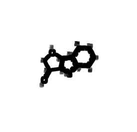 O=C1COc2c1sc1ccccc21